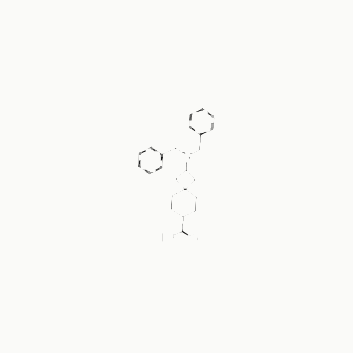 O=C(O)C1CCC2(CC1)CC(N(Cc1ccccc1)Cc1ccccc1)C2